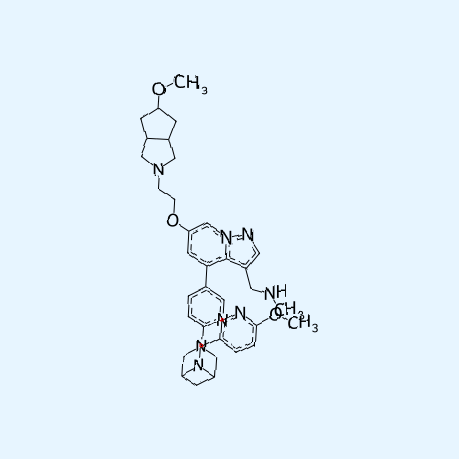 CNCc1cnn2cc(OCCN3CC4CC(OC)CC4C3)cc(-c3ccc(N4CC5CC(C4)N5Cc4ccc(OC)nc4)nc3)c12